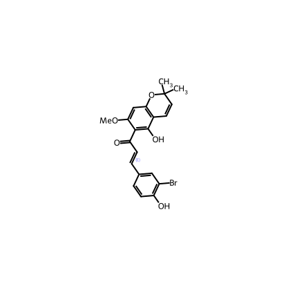 COc1cc2c(c(O)c1C(=O)/C=C/c1ccc(O)c(Br)c1)C=CC(C)(C)O2